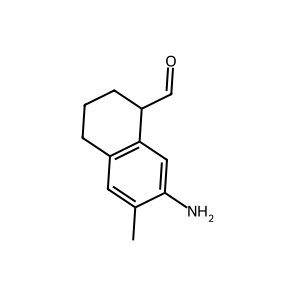 Cc1cc2c(cc1N)C(C=O)CCC2